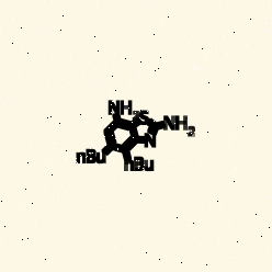 CCCCc1cc(N)c2sc(N)nc2c1CCCC